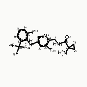 NC1(C(=O)NCc2ncc(Nc3c(F)cccc3C(F)(F)F)cc2F)CC1